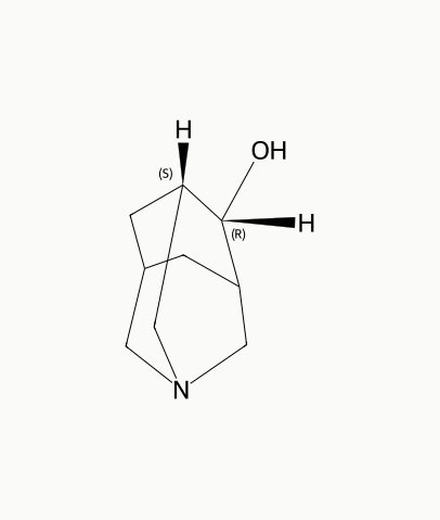 O[C@@H]1C2CC3C[C@H]1CN(C3)C2